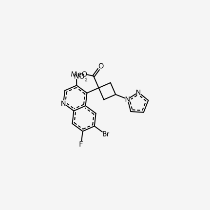 COC(=O)C1(c2c([N+](=O)[O-])cnc3cc(F)c(Br)cc23)CC(n2cccn2)C1